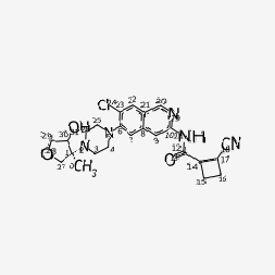 CC1(N2CCN(c3cc4cc(NC(=O)C5CCC5C#N)ncc4cc3Cl)CC2)COCC1O